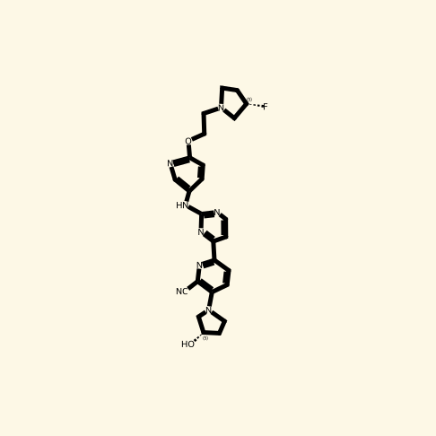 N#Cc1nc(-c2ccnc(Nc3ccc(OCCN4CC[C@H](F)C4)nc3)n2)ccc1N1CC[C@H](O)C1